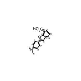 CN(C)c1ccc(-c2cc3cccc(C(=O)O)c3o2)cc1